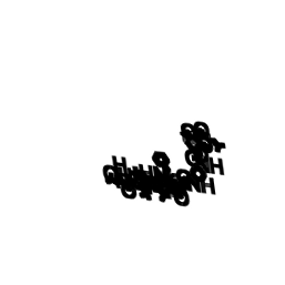 COC1C(OC(=O)N[C@H]2CC[C@H](NC(=O)CNC(=O)[C@H](CC(C)C)NC(=O)[C@H](Cc3ccccc3)NC(=O)CNC(=O)C(CC(C)(CC(C)(C)C)C(=O)NCC(C)O)C(C)(C)C)CC2)CC[C@]2(CO2)C1C1(C)O[C@@H]1CC=C(C)C